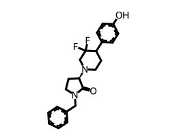 O=C1[C@H](N2CCC(c3ccc(O)cc3)C(F)(F)C2)CCN1Cc1ccccc1